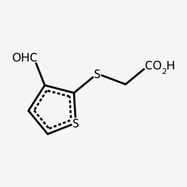 O=Cc1ccsc1SCC(=O)O